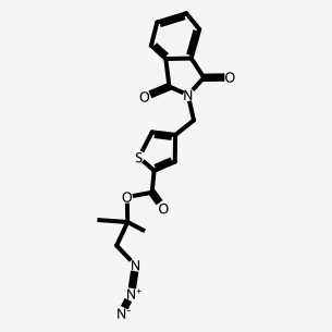 CC(C)(CN=[N+]=[N-])OC(=O)c1cc(CN2C(=O)c3ccccc3C2=O)cs1